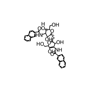 O=C(NC1=C(O)C(CO)O[C@@H](S[C@@H]2OC(CO)[C@H](O)C(NC(=O)c3ccc4ccccc4c3)C2O)C1O)c1ccc2ccccc2c1